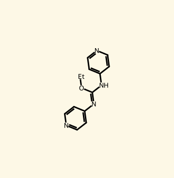 CCO/C(=N\c1ccncc1)Nc1ccncc1